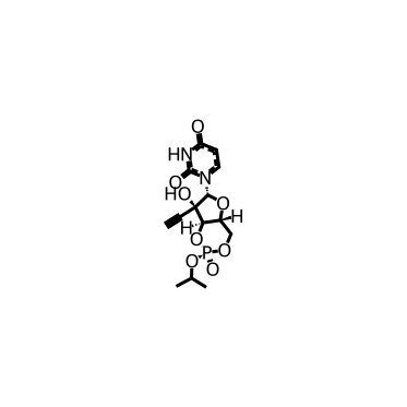 C#C[C@@]1(O)[C@@H]2O[P@](=O)(OC(C)C)OC[C@H]2O[C@H]1n1ccc(=O)[nH]c1=O